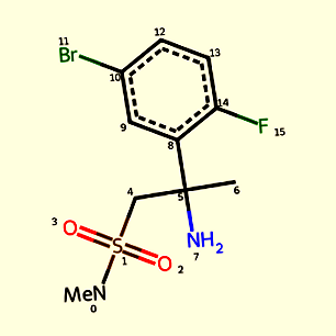 CNS(=O)(=O)CC(C)(N)c1cc(Br)ccc1F